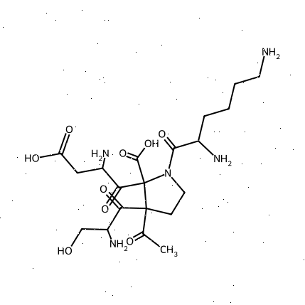 CC(=O)C1(C(=O)C(N)CO)CCN(C(=O)C(N)CCCCN)C1(C(=O)O)C(=O)C(N)CC(=O)O